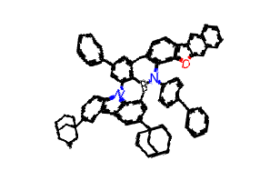 c1ccc(-c2ccc(N3B4c5c(cc(-c6ccccc6)cc5-n5c6ccc(C78CCCC(CCC7)C8)cc6c6cc(C78CCCC(CCC7)C8)cc4c65)-c4ccc5c(oc6cc7ccccc7cc65)c43)cc2)cc1